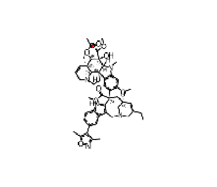 CCC1=C[C@H]2CN(C1)Cc1c([nH]c3ccc(-c4c(C)noc4C)cc13)[C@@](C(=O)OC)(c1cc3c(cc1OC)N(C)[C@H]1[C@@](O)(C(=O)OC)[C@H](OC(C)=O)[C@]4(CC)C=CCN5CC[C@]31[C@@H]54)C2